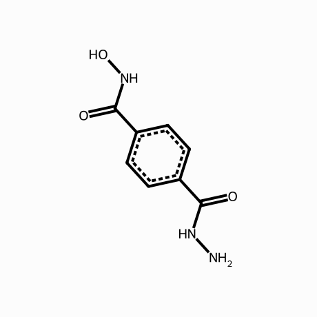 NNC(=O)c1ccc(C(=O)NO)cc1